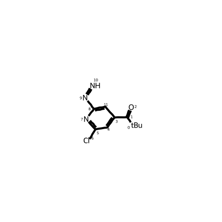 CC(C)(C)C(=O)c1cc(Cl)nc(N=N)c1